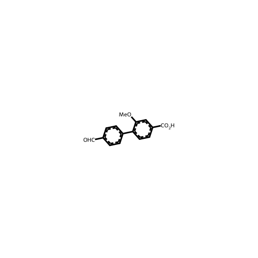 COc1cc(C(=O)O)ccc1-c1ccc(C=O)cc1